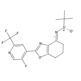 CC(C)(C)[S@+]([O-])/N=C1\CCCc2oc(-c3cc(C(F)(F)F)ncc3F)nc21